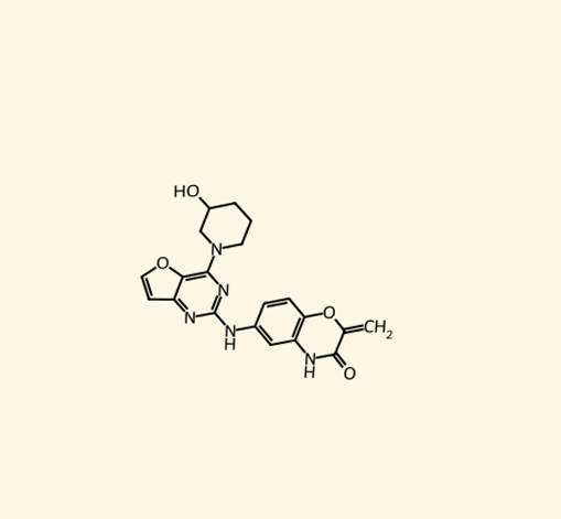 C=C1Oc2ccc(Nc3nc(N4CCCC(O)C4)c4occc4n3)cc2NC1=O